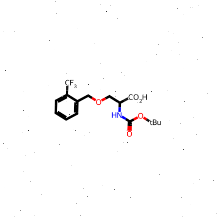 CC(C)(C)OC(=O)NC(COCc1ccccc1C(F)(F)F)C(=O)O